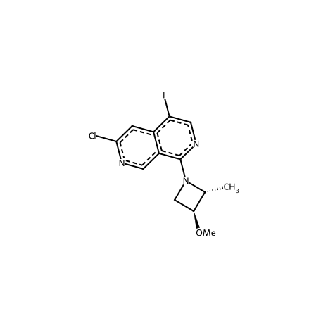 CO[C@H]1CN(c2ncc(I)c3cc(Cl)ncc23)[C@@H]1C